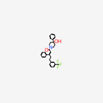 O=C(/C=C(/CCc1cccc(C(F)(F)F)c1)c1ccccc1)N1CCC(O)(c2ccccc2)CC1